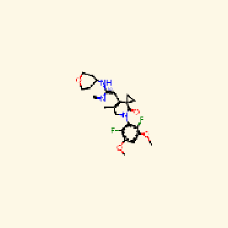 C=N/C(=C\C1=C(C)CN(c2c(F)c(OC)cc(OC)c2F)C(=O)C12CC2)NC1CCOCC1